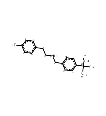 Fc1ccc(CCNCc2ccc(C(F)(C(F)(F)F)C(F)(F)F)cc2)cc1